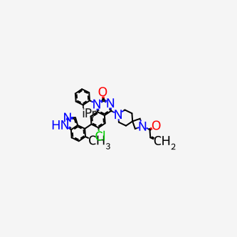 C=CC(=O)N1CC2(CCN(c3nc(=O)n(-c4ccccc4C(C)C)c4cc(-c5c(C)ccc6[nH]ncc56)c(Cl)cc34)CC2)C1